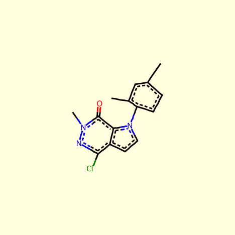 Cc1ccc(-n2ccc3c(Cl)nn(C)c(=O)c32)c(C)c1